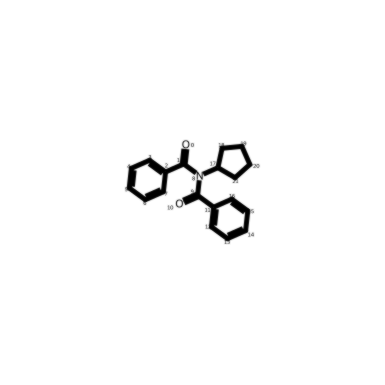 O=C(c1ccccc1)N(C(=O)c1ccccc1)C1CCCC1